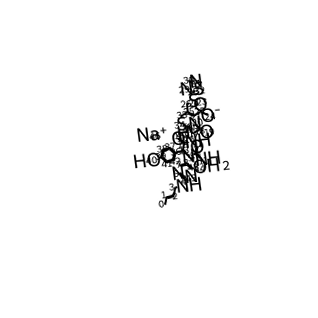 CC=CCNc1ncc(N(C(N)=O)C(C(=O)NC2C(=O)N3C(C(=O)[O-])=C(CSc4ncns4)CS[C@@H]23)c2ccc(O)cc2)c(O)n1.[Na+]